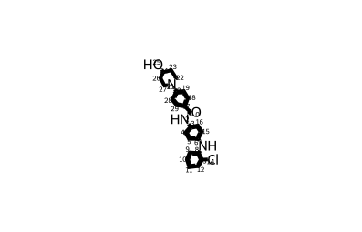 O=C(Nc1ccc(Nc2ccccc2Cl)cc1)c1ccc(N2CCC(O)CC2)cc1